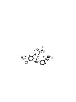 Cc1nc(N2CCO[C@@H](C(F)F)CC2)c(C(=O)Nc2ccnc(S(N)(=O)=O)c2)cc1Cl